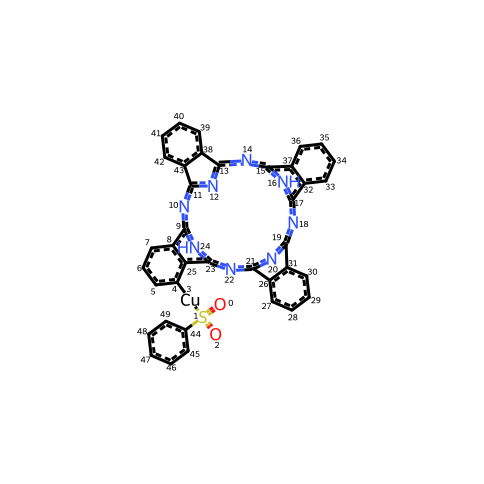 O=[S](=O)([Cu][c]1cccc2c3nc4nc(nc5[nH]c(nc6nc(nc([nH]3)c12)-c1ccccc1-6)c1ccccc51)-c1ccccc1-4)c1ccccc1